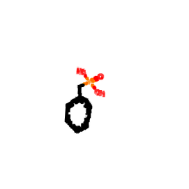 O=P(O)(O)[CH]c1ccccc1